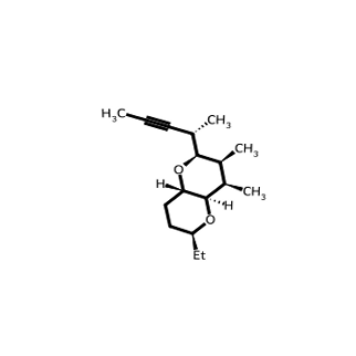 CC#C[C@H](C)[C@@H]1O[C@H]2CC[C@H](CC)O[C@@H]2[C@H](C)[C@@H]1C